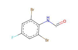 O=[C]Nc1c(Br)cc(F)cc1Br